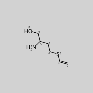 C=CSCCC(N)CO